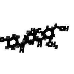 Cc1cc(CO)cc(C)c1Nc1ccnc(Nc2ccc(C#N)cc2)n1